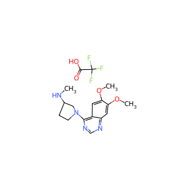 CNC1CCN(c2ncnc3cc(OC)c(OC)cc23)C1.O=C(O)C(F)(F)F